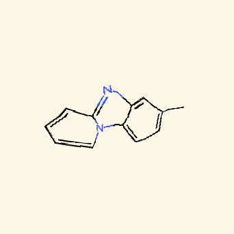 Cc1ccc2c(c1)nc1ccccn12